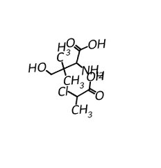 CC(C)(CO)C(N)C(=O)O.CC(Cl)C(=O)O